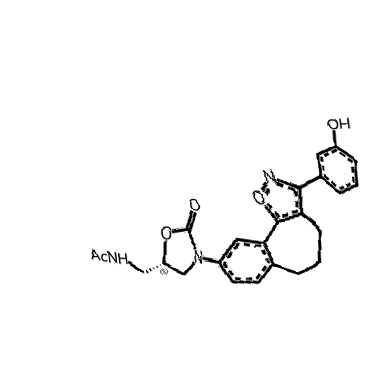 CC(=O)NC[C@H]1CN(c2ccc3c(c2)-c2onc(-c4cccc(O)c4)c2CCC3)C(=O)O1